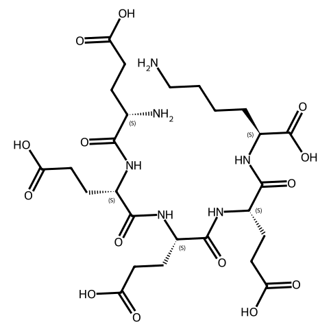 NCCCC[C@H](NC(=O)[C@H](CCC(=O)O)NC(=O)[C@H](CCC(=O)O)NC(=O)[C@H](CCC(=O)O)NC(=O)[C@@H](N)CCC(=O)O)C(=O)O